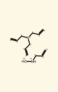 C=CCN(CC=C)CC=C.C=CCNO